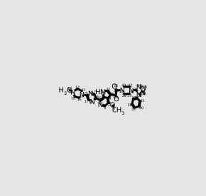 COc1cnc(-c2cnc(N3CCN(C)CC3)cn2)c2[nH]cc(C(=O)C(=O)N3CCN(c4nnnn4-c4ccccc4)CC3)c12